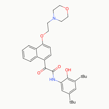 CC(C)(C)c1cc(NC(=O)C(=O)c2ccc(OCCN3CCOCC3)c3ccccc23)c(O)c(C(C)(C)C)c1